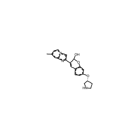 Cc1ccn2cc(C3=Cc4ccc(O[C@@H]5CCNC5)cc4OC3O)nc2c1